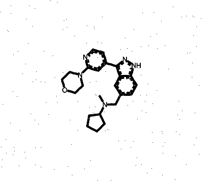 CN(Cc1ccc2[nH]nc(-c3ccnc(N4CCOCC4)c3)c2c1)C1CCCC1